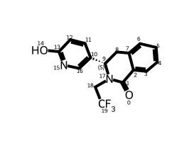 O=C1c2ccccc2C[C@@H](c2ccc(O)nc2)N1CC(F)(F)F